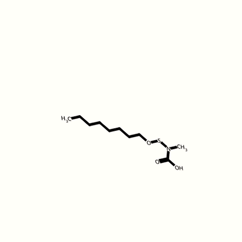 CCCCCCCCOSN(C)C(=O)O